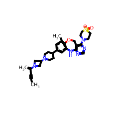 C=C(C#CC)N1CC(N2CCC(c3cc(C)c4c(c3)Nc3ncnc(N5CCS(=O)(=O)CC5)c3CO4)CC2)C1